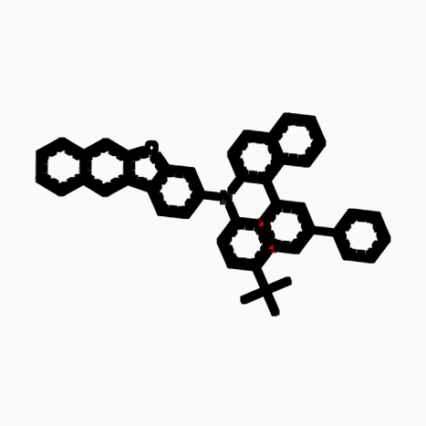 CC(C)(C)c1ccc(N(c2ccc3c(c2)oc2cc4ccccc4cc23)c2ccc3ccccc3c2-c2cccc(-c3ccccc3)c2)cc1